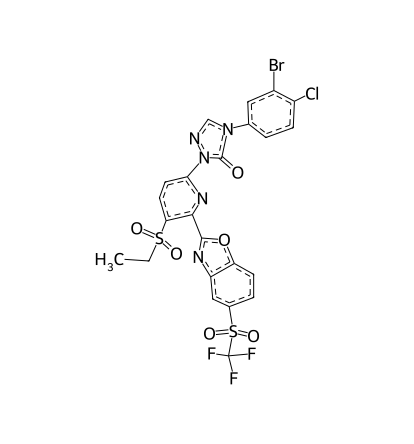 CCS(=O)(=O)c1ccc(-n2ncn(-c3ccc(Cl)c(Br)c3)c2=O)nc1-c1nc2cc(S(=O)(=O)C(F)(F)F)ccc2o1